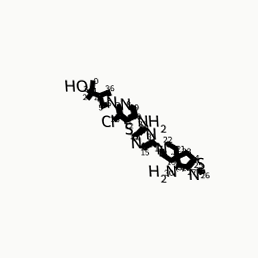 CC(C)(O)C1CN(c2nccc(Sc3ncc(N4CCC5(CC4)Cc4scnc4[C@H]5N)nc3N)c2Cl)C1